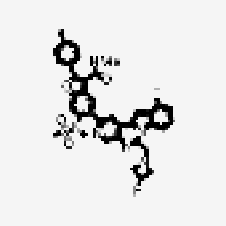 CNC(=O)c1c(-c2ccc(C)cc2)oc2cc(N(C)S(C)(=O)=O)c(-c3cc4c(cn3)nc(CN3CC(F)C3)n3c5cccc(F)c5cc43)cc12